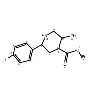 CC(C)OC(=O)N1CC(c2ccc(F)cc2)NCC1C